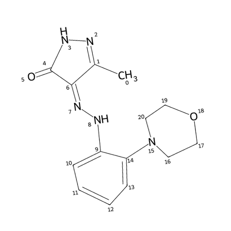 CC1=NNC(=O)/C1=N/Nc1ccccc1N1CCOCC1